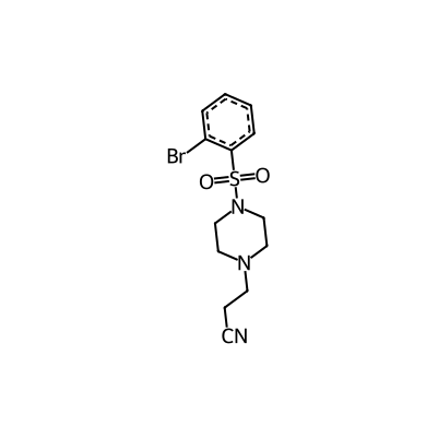 N#CCCN1CCN(S(=O)(=O)c2ccccc2Br)CC1